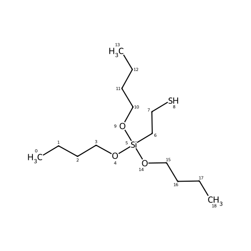 CCCCO[Si](CCS)(OCCCC)OCCCC